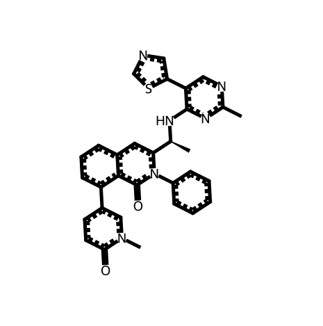 Cc1ncc(-c2cncs2)c(N[C@@H](C)c2cc3cccc(-c4ccc(=O)n(C)c4)c3c(=O)n2-c2ccccc2)n1